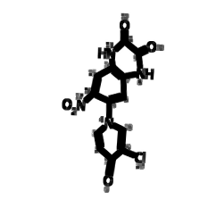 O=c1ccn(-c2cc3[nH]c(=O)c(=O)[nH]c3cc2[N+](=O)[O-])cc1Cl